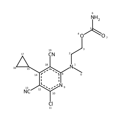 CN(CCOC(N)=O)c1nc(Cl)c(C#N)c(C2CC2)c1C#N